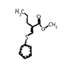 CCC/C(=C\Sc1ccccc1)C(=O)OC